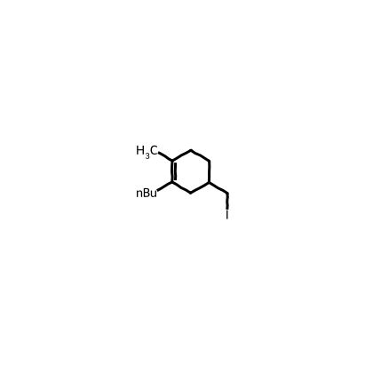 CCCCC1=C(C)CCC(CI)C1